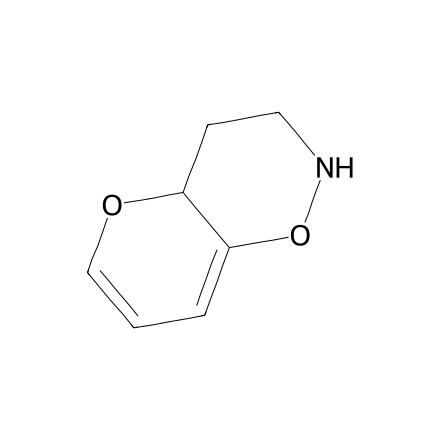 C1=COC2CCNOC2=C1